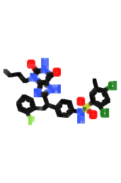 CCCCn1c(=O)[nH]c(=O)c2[nH]c(C(Cc3ccccc3F)c3ccc(NS(=O)(=O)c4cc(C)c(Cl)cc4Cl)cc3)nc21